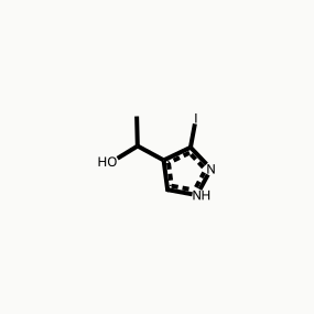 CC(O)c1c[nH]nc1I